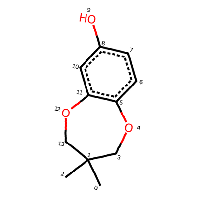 CC1(C)COc2ccc(O)cc2OC1